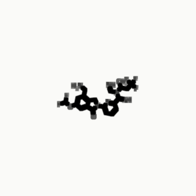 CC(CC(F)(F)F)N(C=N)C(=N)c1cccc(N2Cc3c(CN)cc(OC(F)F)cc3C2=O)n1